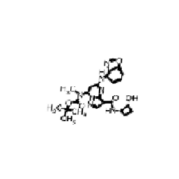 CN(C(=O)OC(C)(C)C)c1cc(Nc2cccc3ocnc23)nc2c(C(=O)N[C@@H]3CC[C@H]3O)cnn12